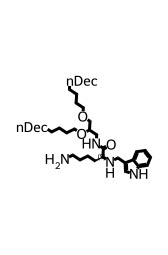 CCCCCCCCCCCCCCOCC(CNC(=O)[C@H](CCCCN)NCc1c[nH]c2ccccc12)OCCCCCCCCCCCCCC